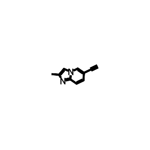 C#Cc1ccc2nc(C)cn2c1